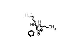 CCCCNC(=C[N+](=O)[O-])NCCCC.c1ccccc1